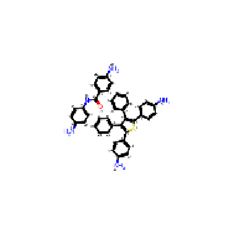 Nc1ccc(-c2sc(-c3ccc(N)cc3)c(-c3ccccc3)c2-c2ccccc2)cc1.Nc1ccc(NC(=O)c2ccc(N)cc2)cc1